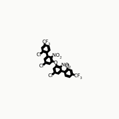 O=[N+]([O-])c1c(Oc2cc(Cl)cc(-c3ccc(C(F)(F)F)cc3Cl)c2[N+](=O)[O-])cc(Cl)cc1-c1ccc(C(F)(F)F)cc1Cl